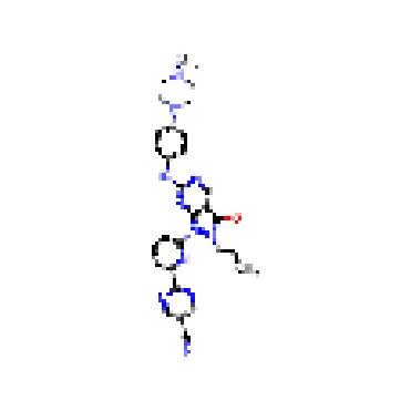 C=CCn1c(=O)c2cnc(Nc3ccc(N4CCN(C)CC4)cc3)nc2n1-c1cccc(-c2ncc(C#N)cn2)n1